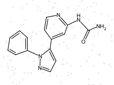 NC(=O)Nc1cc(-c2ccnn2-c2ccccc2)ccn1